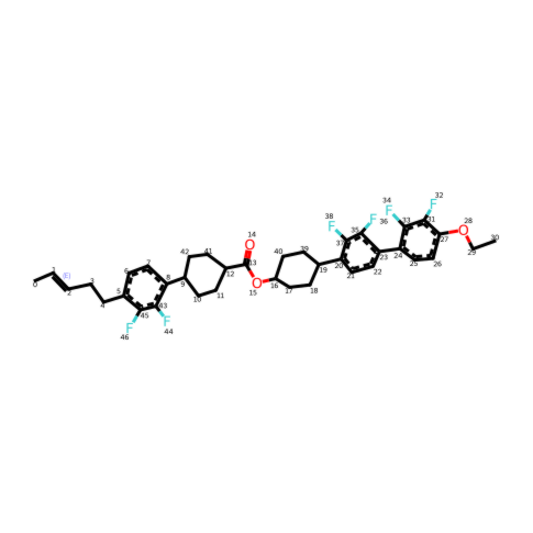 C/C=C/CCc1ccc(C2CCC(C(=O)OC3CCC(c4ccc(-c5ccc(OCC)c(F)c5F)c(F)c4F)CC3)CC2)c(F)c1F